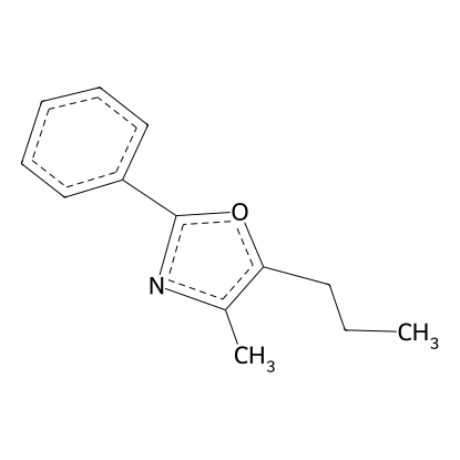 CCCc1oc(-c2ccccc2)nc1C